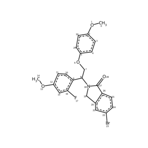 COc1ccc(OCC(c2ccc(OC)cc2F)N2Cc3cc(Br)ccc3C2=O)cc1